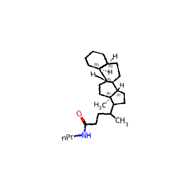 CCCNC(=O)CCC(C)C1CC[C@H]2C3CC[C@@H]4CCCC[C@@H]4[C@H]3CC[C@]12C